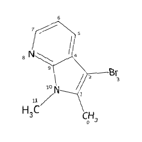 Cc1c(Br)c2cccnc2n1C